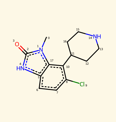 Cn1c(=O)[nH]c2ccc(Cl)c(C3CCNCC3)c21